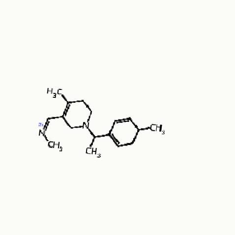 C/N=C\C1=C(C)CCN(C(C)C2=CCC(C)C=C2)C1